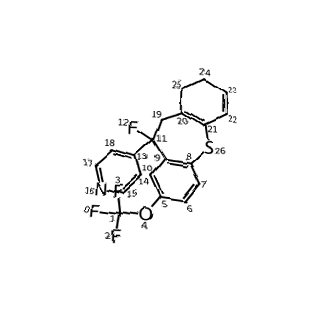 FC(F)(F)Oc1ccc2c(c1)C(F)(c1ccncc1)CC1=C(C=CCC1)S2